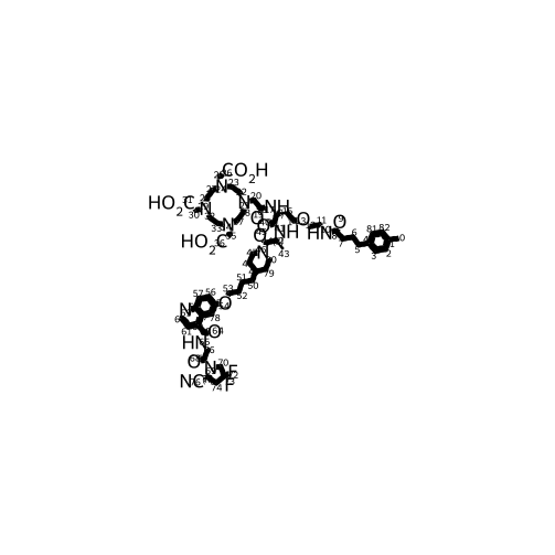 Cc1ccc(CCCC(=O)NCCOCC[C@H](NC(=O)CN2CCN(CC(=O)O)CCN(CC(=O)O)CCN(CC(=O)O)CC2)C(=O)N[C@@H](C)C(=O)N2CCC(CCCCOc3ccc4nccc(C(=O)NCC(=O)N5CC(F)(F)C[C@@H]5C#N)c4c3)CC2)cc1